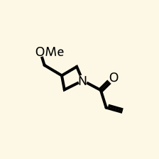 C=CC(=O)N1CC(COC)C1